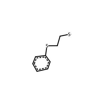 [S]CCSc1ccccc1